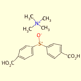 C[N+](C)(C)C.O=C(O)c1ccc([S+]([O-])c2ccc(C(=O)O)cc2)cc1